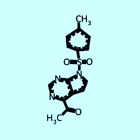 CC(=O)c1ncnc2c1ccn2S(=O)(=O)c1ccc(C)cc1